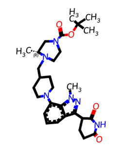 C[C@@H]1CN(C(=O)OC(C)(C)C)CCN1CC1CCN(c2cccc3c(C4CCC(=O)NC4=O)nn(C)c23)CC1